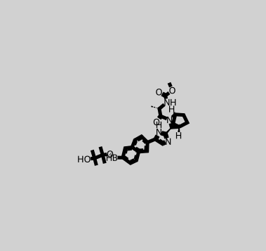 COC(=O)N[C@@H](C)C(=O)N1[C@@H]2CC[C@@H](C2)[C@H]1c1ncc(-c2ccc3cc(BOC(C)(C)C(C)(C)O)ccc3c2)[nH]1